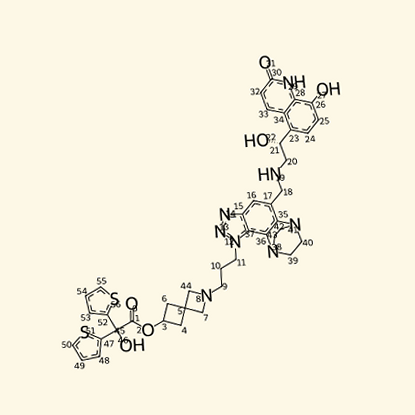 O=C(OC1CC2(C1)CN(CCCn1nnc3cc(CNC[C@H](O)c4ccc(O)c5[nH]c(=O)ccc45)c4c(c31)N1CCN4CC1)C2)C(O)(c1cccs1)c1cccs1